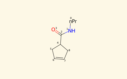 CCCNC(=O)C1CC=CC1